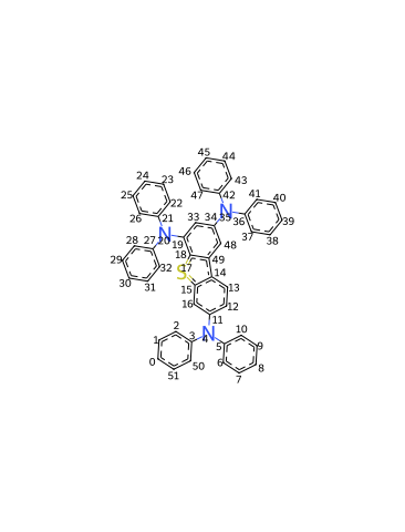 c1ccc(N(c2ccccc2)c2ccc3c(c2)sc2c(N(c4ccccc4)c4ccccc4)cc(N(c4ccccc4)c4ccccc4)cc23)cc1